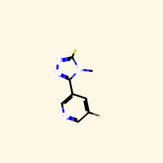 Cn1c(S)nnc1-c1cncc(Br)c1